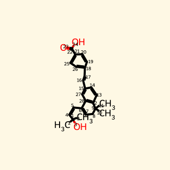 CC(C)(O)/C=C\C1=CCC(C)(C)c2ccc(/C=C/c3ccc(C(=O)O)cc3)cc21